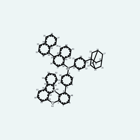 c1cc2c(c(-c3ccc(N(c4ccc(C56CC7CC(CC(C7)C5)C6)cc4)c4ccc(-c5cccc6ccccc56)c5ccccc45)cc3)c1)-n1c3ccccc3c3cccc(c31)O2